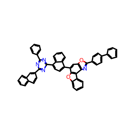 c1ccc(-c2ccc(-c3nc4c(cc(-c5ccc(-c6nc(-c7ccccc7)nc(-c7ccc8ccccc8c7)n6)c6ccccc56)c5oc6ccccc6c54)o3)cc2)cc1